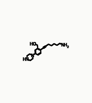 NCCCCCC#Cc1ccc(N2CCNCC2)cc1CO